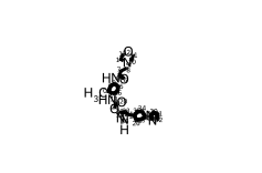 Cc1cc(NC(=O)CCN2CCOCC2)ccc1NC(=O)Oc1cc(-c2ccc(-n3cccn3)cc2)[nH]n1